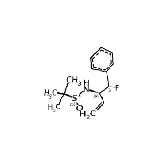 C=C[C@@H](N[S@+]([O-])C(C)(C)C)[C@@H](F)c1ccccc1